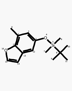 Cc1cc(O[Si](C)(C)C(C)(C)C)cc2ccoc12